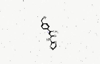 C/C(=C\C(=O)NC1=NCCS1)c1ccc(CC(C)C)cc1